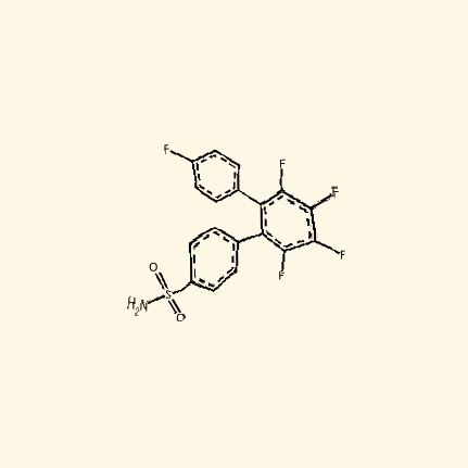 NS(=O)(=O)c1ccc(-c2c(F)c(F)c(F)c(F)c2-c2ccc(F)cc2)cc1